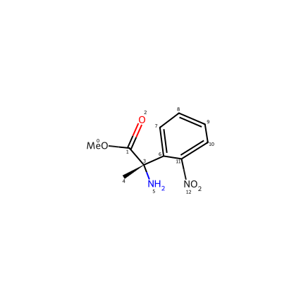 COC(=O)[C@@](C)(N)c1ccccc1[N+](=O)[O-]